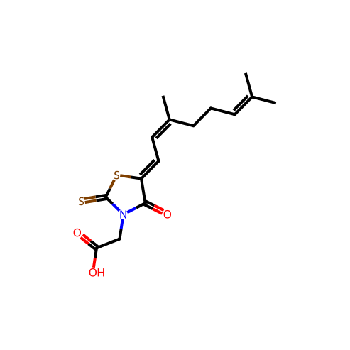 CC(C)=CCCC(C)=CC=C1SC(=S)N(CC(=O)O)C1=O